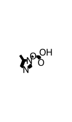 Cc1cncn1OC(=O)O